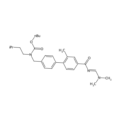 CCCCOC(=O)N(CCC(C)C)Cc1ccc(-c2ccc(C(=O)/N=C/N(C)C)cc2C)cc1